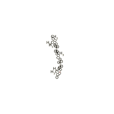 C=C1C=C2CCC3C(C(C)CC4(C)C(OC(=O)CCC(=O)OC5CCC6C7CCc8cc(OC(=O)CCC(=O)OC9CCC%10C%11CCC%12=CC(=O)CCC%12C%11C(C)CC9%10C)ccc8C7CCC56C)CCC34)C2CC1